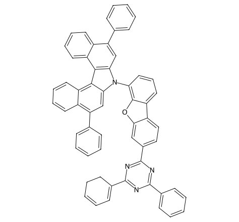 C1=CCCC(c2nc(-c3ccccc3)nc(-c3ccc4c(c3)oc3c(-n5c6cc(-c7ccccc7)c7ccccc7c6c6c7ccccc7c(-c7ccccc7)cc65)cccc34)n2)=C1